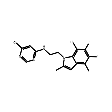 Cc1c(F)c(F)c(Cl)c2c1cc(C)n2CCNc1cc(Cl)ncn1